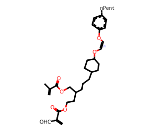 C=C(C)C(=O)OCC(CCCC1CCC(O/C=C\Oc2ccc(CCCCC)cc2)CC1)CCOC(=O)C(=C)C=O